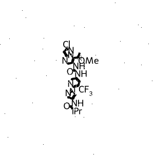 CO[C@@H](C)c1c(NC(=O)Nc2cnc(-n3cc(NC(=O)C(C)C)cn3)c(C(F)(F)F)c2)cnc2cc(Cl)nn12